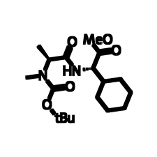 COC(=O)[C@@H](NC(=O)[C@H](C)N(C)C(=O)OC(C)(C)C)C1CCCCC1